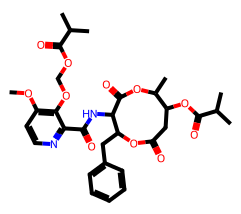 COc1ccnc(C(=O)NC2C(=O)OC(C)C(OC(=O)C(C)C)CC(=O)OC2Cc2ccccc2)c1OCOC(=O)C(C)C